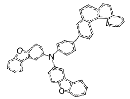 c1ccc2c(c1)ccc1ccc3cc(-c4ccc(N(c5ccc6oc7ccccc7c6c5)c5ccc6oc7ccccc7c6c5)cc4)ccc3c12